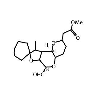 COC(=O)CC1CCC2O[C@@H](C=O)C3OC4(CCCCC4)C(C)C3[C@H]2O1